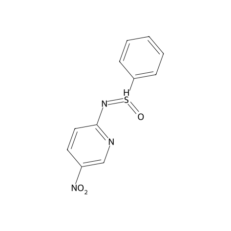 O=[N+]([O-])c1ccc(/N=[SH](=O)/c2ccccc2)nc1